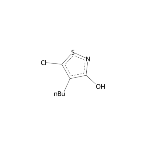 CCCCc1c(O)nsc1Cl